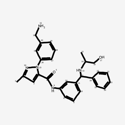 Cc1cc(C(=O)Nc2cccc(C(NC(C)CO)c3ccccc3)c2)n(-c2cccc(CN)c2)n1